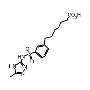 Cc1nnc(NS(=O)(=O)c2cccc(CCCCCCC(=O)O)c2)[nH]1